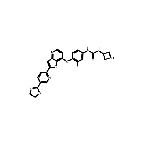 O=C(Nc1ccc(Oc2ccnc3cc(-c4ccc(C5OCCO5)cn4)sc23)c(F)c1)NC1CNC1